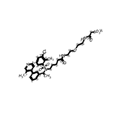 Cc1cnccc1-c1cccc(C(C)N(CCCCC(=O)NCCOCCNC(=O)CS(=O)(=O)O)S(=O)(=O)c2cccc(Cl)c2C)c1